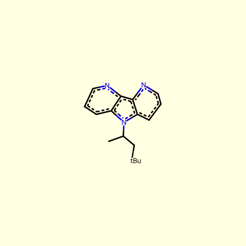 CC(CC(C)(C)C)n1c2cccnc2c2ncccc21